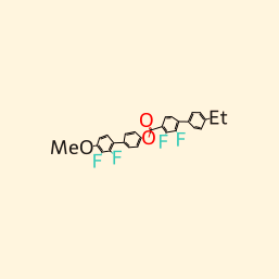 CCc1ccc(-c2ccc(C(=O)Oc3ccc(-c4ccc(OC)c(F)c4F)cc3)c(F)c2F)cc1